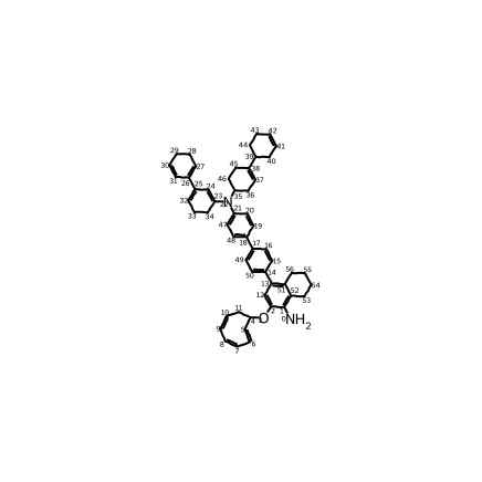 Nc1c(OC2/C=C/C=C\C=C/C2)cc(-c2ccc(-c3ccc(N(C4=CC(C5=CCCC=C5)=CCC4)C4CC=C(C5CC=CCC5)CC4)cc3)cc2)c2c1CCCC2